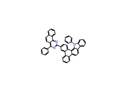 c1ccc(-c2nc(-c3ccc4c(c3)c3ccccc3c3ccc5c6ccccc6n(-c6ccccc6)c5c34)nc3c2ccc2ccccc23)cc1